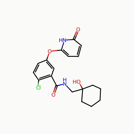 O=C(NCC1(O)CCCCC1)c1cc(Oc2cccc(=O)[nH]2)ccc1Cl